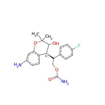 CC1(C)Oc2cc(N)ccc2[C@H](C(COC(N)=O)c2ccc(F)cc2)C1O